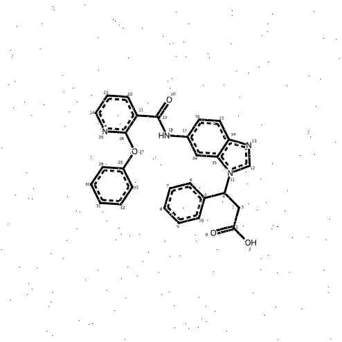 O=C(O)CC(c1ccccc1)n1cnc2ccc(NC(=O)c3cccnc3Oc3ccccc3)cc21